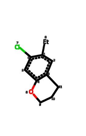 CCc1cc2c(cc1Cl)OCCC2